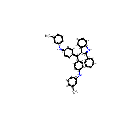 Cc1cccc(N=C2C=CC(=C(c3ccc(Nc4cccc(C)c4)cc3)C3C(c4ccccc4)=Nc4ccccc43)C=C2)c1